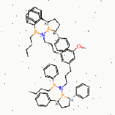 CCCCP(c1ccccc1)N(CCCc1cc(CCCN(P(CCCC)c2ccccc2)P2[C@H](c3ccccc3)CC[C@H]2c2ccccc2)cc(OC)c1)P1[C@@H](c2ccccc2)CC[C@@H]1c1ccccc1